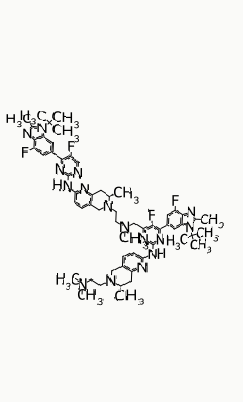 Cc1nc2c(F)cc(-c3nc(Nc4ccc5c(n4)C[C@@H](C)N(CCN(C)Cc4nc(Nc6ccc7c(n6)C[C@H](C)N(CCN(C)C)C7)nc(-c6cc(F)c7nc(C)n(C(C)(C)C)c7c6)c4F)C5)ncc3F)cc2n1C(C)(C)C